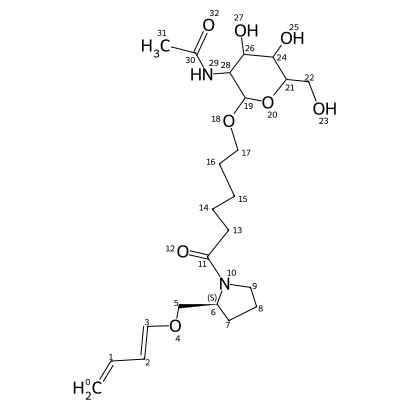 C=CC=COC[C@@H]1CCCN1C(=O)CCCCCOC1OC(CO)C(O)C(O)C1NC(C)=O